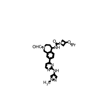 CC(C)OC1CN(C(=O)NC2CCN(C=O)Cc3cc(-c4ccnc(Nc5cnn(C)c5)n4)ccc32)C1